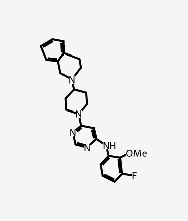 COc1c(F)cccc1Nc1cc(N2CCC(N3CCc4ccccc4C3)CC2)ncn1